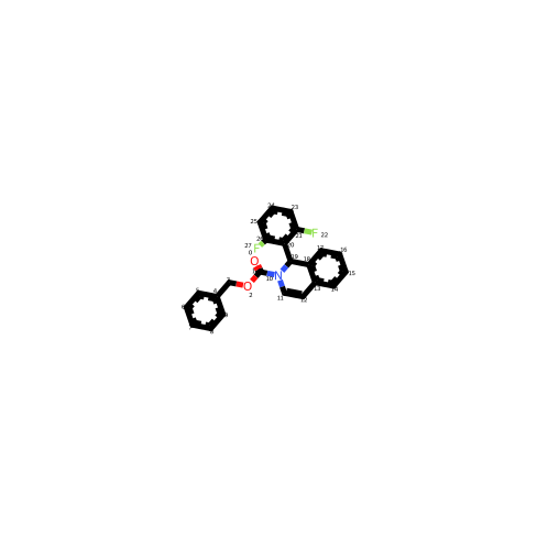 O=C(OCc1ccccc1)N1C=Cc2ccccc2C1c1c(F)cccc1F